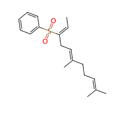 C/C=C(/C/C=C(\C)CCC=C(C)C)S(=O)(=O)c1ccccc1